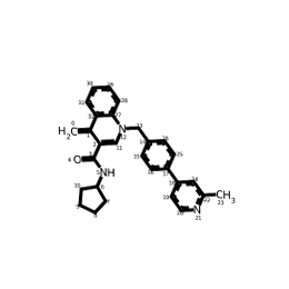 C=C1C(C(=O)NC2CCCC2)=CN(Cc2ccc(-c3ccnc(C)c3)cc2)c2ccccc21